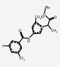 CCOC(=O)c1cc(NC(=O)c2cc(F)cc(C(F)(F)F)c2)cn1C(C)C(=O)OC(C)(C)C